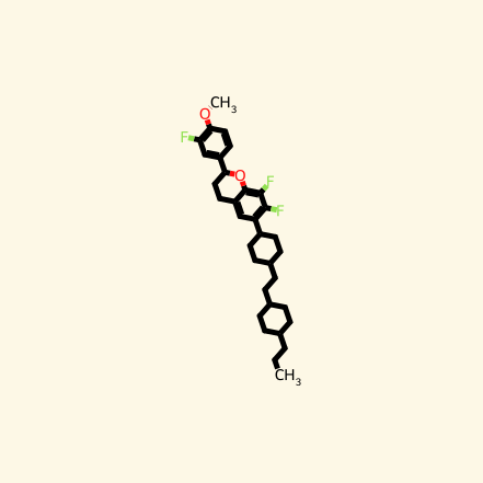 CCCC1CCC(CCC2CCC(c3cc4c(c(F)c3F)OC(c3ccc(OC)c(F)c3)CC4)CC2)CC1